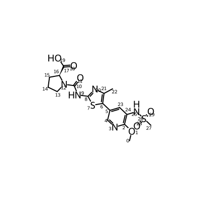 COc1ncc(-c2sc(NC(=O)N3CCC[C@H]3C(=O)O)nc2C)cc1NS(C)(=O)=O